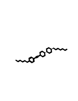 CCCCCCC[C@H]1CC[C@H](C2CCC(C#Cc3ccc(CCCCCC)cc3)CC2)CC1